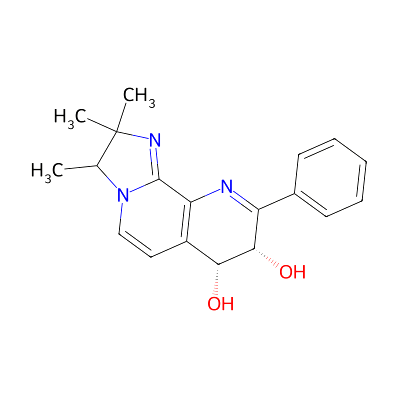 CC1N2C=CC3=C(N=C(c4ccccc4)[C@H](O)[C@@H]3O)C2=NC1(C)C